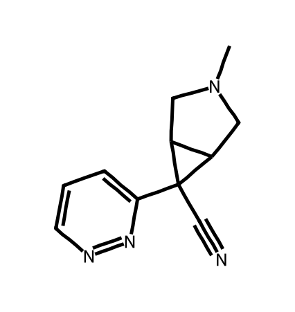 CN1CC2C(C1)C2(C#N)c1cccnn1